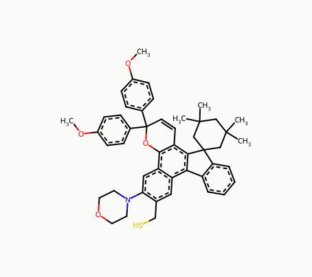 COc1ccc(C2(c3ccc(OC)cc3)C=Cc3c4c(c5cc(CS)c(N6CCOCC6)cc5c3O2)-c2ccccc2C42CC(C)(C)CC(C)(C)C2)cc1